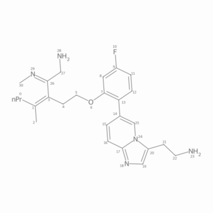 CCC/C(C)=C(CCOc1cc(F)ccc1-c1ccc2ncc(CCN)n2c1)\C(CN)=N/C